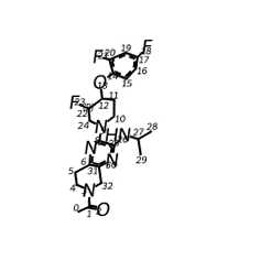 CC(=O)N1CCc2nc(N3CCC(Oc4ccc(F)cc4F)[C@H](F)C3)c(NC(C)C)nc2C1